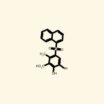 Cc1c(S(=O)(=O)c2cccc3ccccc23)cc(C(C)C)c(O)c1C(=O)O